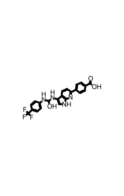 O=C(O)c1ccc(-c2ccc3c(NC(O)Nc4ccc(C(F)(F)F)cc4)c[nH]c3n2)cc1